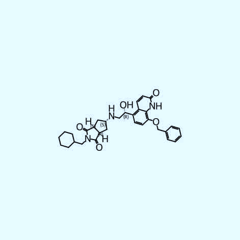 O=C1[C@H]2C[C@H](NC[C@H](O)c3ccc(OCc4ccccc4)c4[nH]c(=O)ccc34)C[C@H]2C(=O)N1CC1CCCCC1